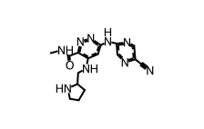 CNC(=O)c1nnc(Nc2cnc(C#N)cn2)cc1NCC1CCCN1